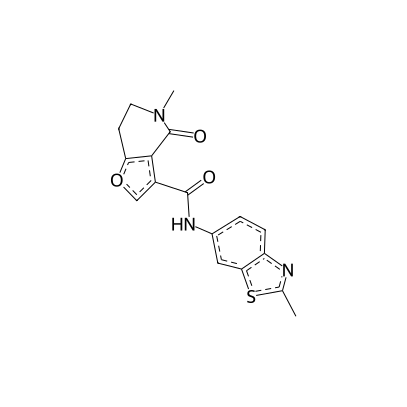 Cc1nc2ccc(NC(=O)c3coc4c3C(=O)N(C)CC4)cc2s1